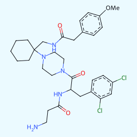 COc1ccc(CC(=O)NCC2(N3CCN(C(=O)C(Cc4ccc(Cl)cc4Cl)NC(=O)CCN)CC3)CCCCC2)cc1